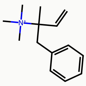 C=CC(C)(Cc1ccccc1)[N+](C)(C)C